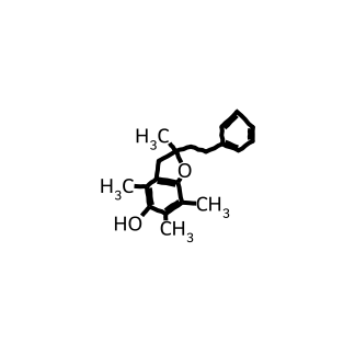 Cc1c(C)c2c(c(C)c1O)CC(C)(CCc1ccccc1)O2